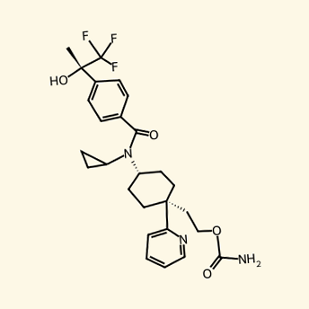 C[C@](O)(c1ccc(C(=O)N(C2CC2)[C@H]2CC[C@](CCOC(N)=O)(c3ccccn3)CC2)cc1)C(F)(F)F